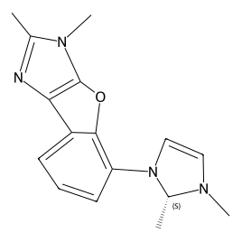 Cc1nc2c3cccc(N4C=CN(C)[C@@H]4C)c3oc2n1C